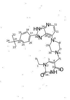 CCn1cc(CN2CCN(c3ccnc4[nH]c(-c5ccc(C(C)(C)C)cc5)nc34)CC2)c(=O)[nH]c1=O